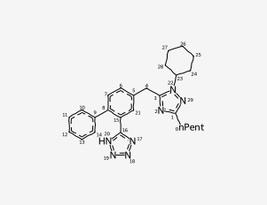 CCCCCc1nc(Cc2ccc(-c3ccccc3)c(-c3nnn[nH]3)c2)n(C2CCCCC2)n1